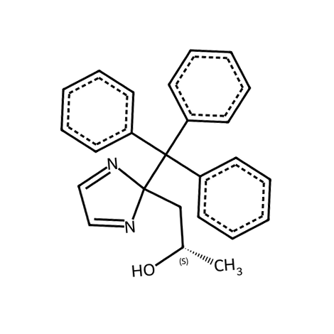 C[C@H](O)CC1(C(c2ccccc2)(c2ccccc2)c2ccccc2)N=CC=N1